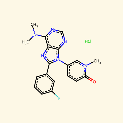 CN(C)c1ncnc2c1nc(-c1cccc(F)c1)n2-c1ccc(=O)n(C)c1.Cl